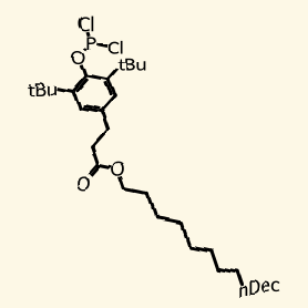 CCCCCCCCCCCCCCCCCCOC(=O)CCc1cc(C(C)(C)C)c(OP(Cl)Cl)c(C(C)(C)C)c1